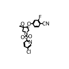 N#Cc1ccc(O[C@H]2CN(S(=O)(=O)c3ccc(Cl)cn3)CC23CO3)cc1F